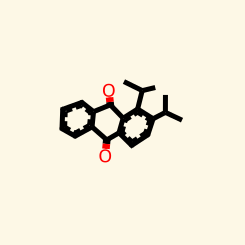 CC(C)c1ccc2c(c1C(C)C)C(=O)c1ccccc1C2=O